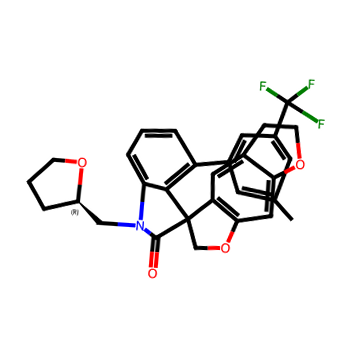 Cc1cc(-c2cccc3c2C2(COc4cc5c(cc42)CCO5)C(=O)N3C[C@H]2CCCO2)cc(C(F)(F)F)c1